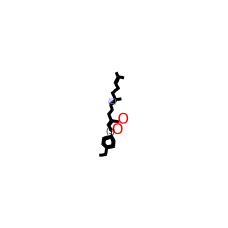 CCc1ccc([C@@H]2C=C(CC/C=C(\C)CCC=C(C)C)C(=O)O2)cc1